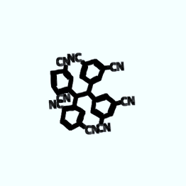 N#Cc1cc(C#N)cc(C(c2cc(C#N)cc(C#N)c2)C(c2cc(C#N)ccc2C#N)c2cc(C#N)ccc2C#N)c1